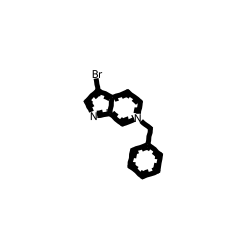 Brc1cnc2cn(Cc3ccccc3)ccc1-2